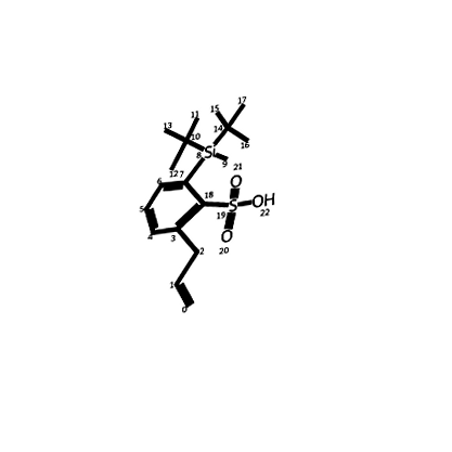 C=CCc1cccc([Si](C)(C(C)(C)C)C(C)(C)C)c1S(=O)(=O)O